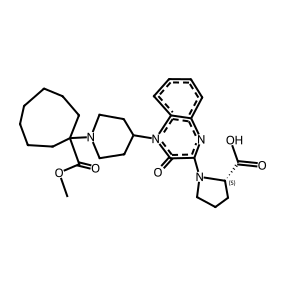 COC(=O)C1(N2CCC(n3c(=O)c(N4CCC[C@H]4C(=O)O)nc4ccccc43)CC2)CCCCCCC1